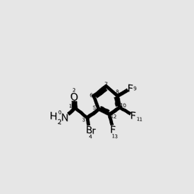 NC(=O)C(Br)c1ccc(F)c(F)c1F